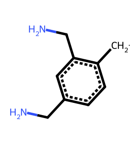 [CH2]c1ccc(CN)cc1CN